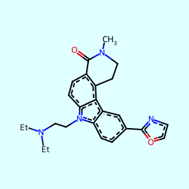 CCN(CC)CCn1c2ccc(-c3ncco3)cc2c2c3c(ccc21)C(=O)N(C)CC3